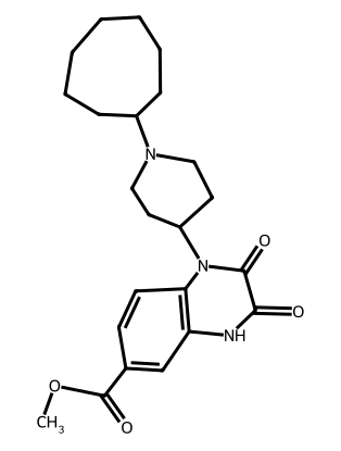 COC(=O)c1ccc2c(c1)[nH]c(=O)c(=O)n2C1CCN(C2CCCCCCC2)CC1